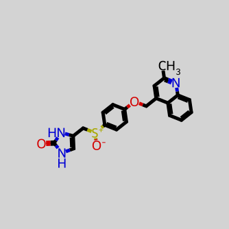 Cc1cc(COc2ccc([S+]([O-])Cc3c[nH]c(=O)[nH]3)cc2)c2ccccc2n1